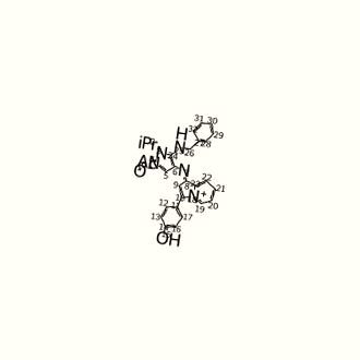 CC(=O)[O-].CC(C)n1ncc(/N=C2\C=C(c3ccc(O)cc3)[n+]3ccccc32)c1NCc1ccccc1